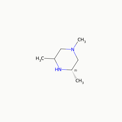 CC1CN(C)C[C@H](C)N1